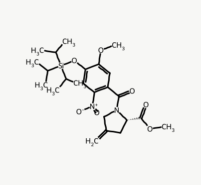 C=C1C[C@@H](C(=O)OC)N(C(=O)c2cc(OC)c(O[Si](C(C)C)(C(C)C)C(C)C)cc2[N+](=O)[O-])C1